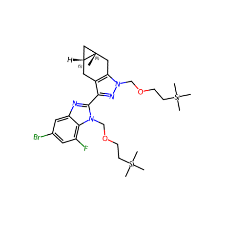 C[C@@]12Cc3c(c(-c4nc5cc(Br)cc(F)c5n4COCC[Si](C)(C)C)nn3COCC[Si](C)(C)C)C[C@@H]1C2